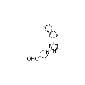 O=CC1CCN(c2nccc(-c3ccc4ccccc4c3)n2)CC1